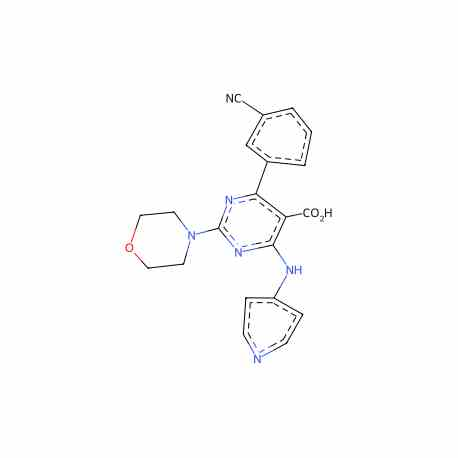 N#Cc1cccc(-c2nc(N3CCOCC3)nc(Nc3ccncc3)c2C(=O)O)c1